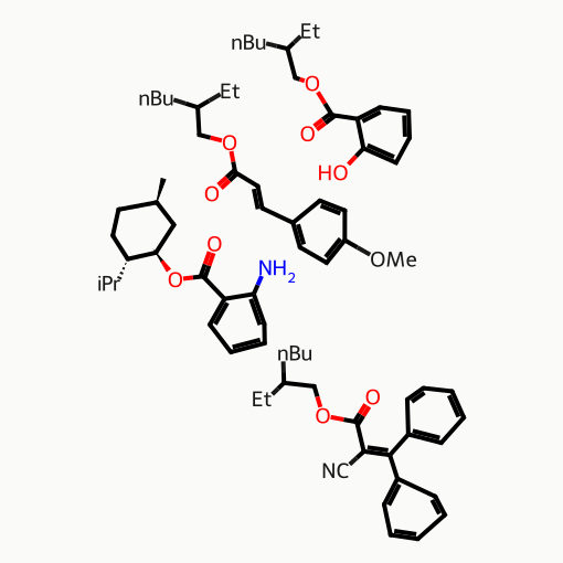 CC(C)[C@@H]1CC[C@@H](C)C[C@H]1OC(=O)c1ccccc1N.CCCCC(CC)COC(=O)/C=C/c1ccc(OC)cc1.CCCCC(CC)COC(=O)C(C#N)=C(c1ccccc1)c1ccccc1.CCCCC(CC)COC(=O)c1ccccc1O